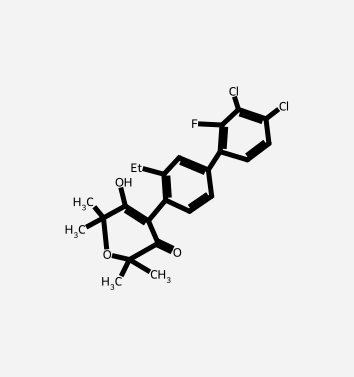 CCc1cc(-c2ccc(Cl)c(Cl)c2F)ccc1C1=C(O)C(C)(C)OC(C)(C)C1=O